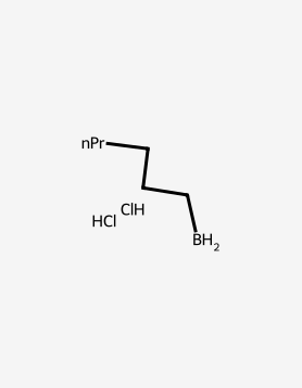 BCCCCCC.Cl.Cl